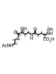 CCCN[C@@H](CCC(=O)NCC[C@H](O)C(=O)SCCNC(C)=O)C(=O)O